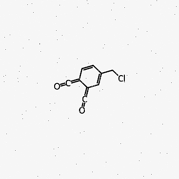 O=C=c1ccc(CCl)cc1=C=O